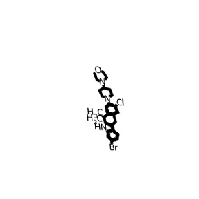 CC1(C)c2cc(N3CCC(N4CCOCC4)CC3)c(Cl)cc2Cc2c1[nH]c1cc(Br)ccc21